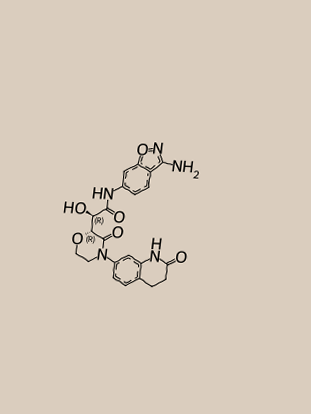 Nc1noc2cc(NC(=O)[C@H](O)[C@H]3OCCN(c4ccc5c(c4)NC(=O)CC5)C3=O)ccc12